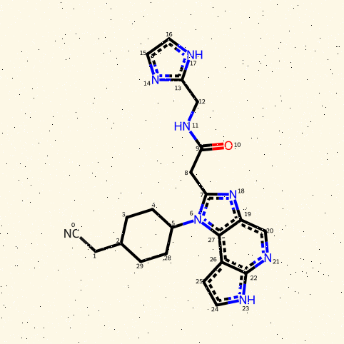 N#CCC1CCC(n2c(CC(=O)NCc3ncc[nH]3)nc3cnc4[nH]ccc4c32)CC1